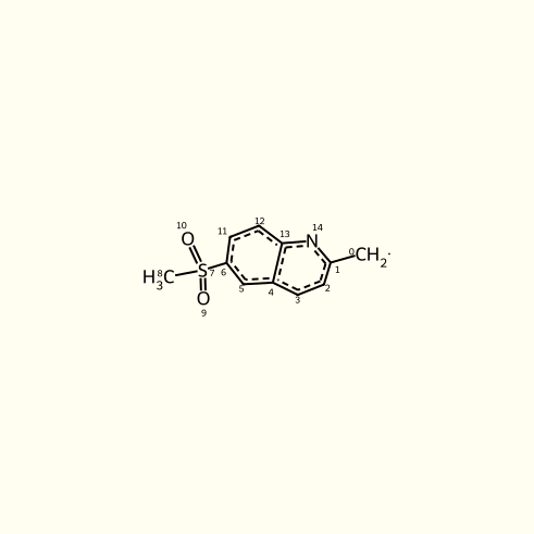 [CH2]c1ccc2cc(S(C)(=O)=O)ccc2n1